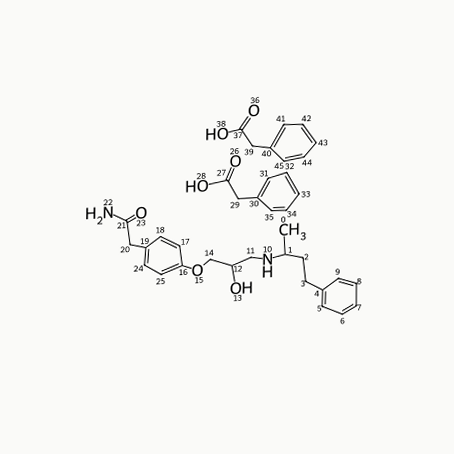 CC(CCc1ccccc1)NCC(O)COc1ccc(CC(N)=O)cc1.O=C(O)Cc1ccccc1.O=C(O)Cc1ccccc1